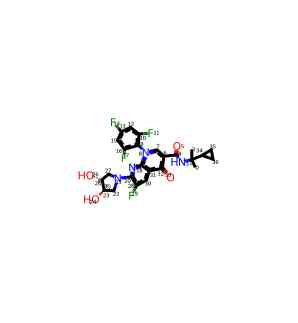 CC(C)(NC(=O)c1cn(-c2c(F)cc(F)cc2F)c2nc(N3C[C@@H](O)[C@H](O)C3)c(F)cc2c1=O)C1CC1